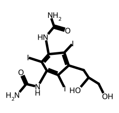 NC(=O)Nc1c(I)c(CC(O)CO)c(I)c(NC(N)=O)c1I